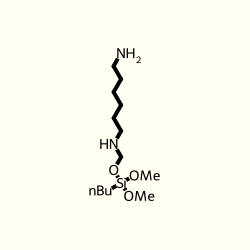 CCCC[Si](OC)(OC)OCNCCCCCCN